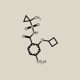 CC1(S(=O)(=O)NC(=O)c2ccc(C(=O)O)cc2OC2CCC2)CC1